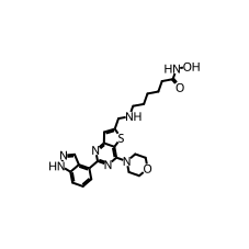 O=C(CCCCCNCc1cc2nc(-c3cccc4[nH]ncc34)nc(N3CCOCC3)c2s1)NO